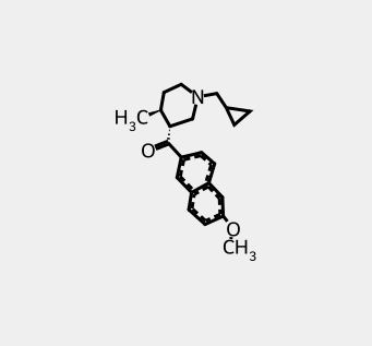 COc1ccc2cc(C(=O)[C@H]3CN(CC4CC4)CC[C@@H]3C)ccc2c1